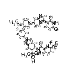 CN(C[C@H]1CC[C@H](n2cc3cc(NC(=O)c4cccc(C(F)(F)F)n4)c(C(C)(C)O)cc3n2)CC1)C1CCN(c2ccn3c(N4CCC(=O)NC4=O)cnc3c2)CC1